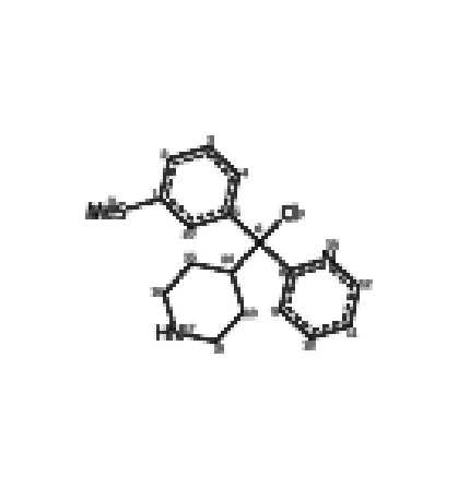 CSc1cccc(C(Cl)(c2ccccn2)C2CCNCC2)c1